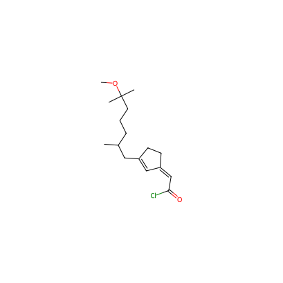 COC(C)(C)CCCC(C)CC1=CC(=CC(=O)Cl)CC1